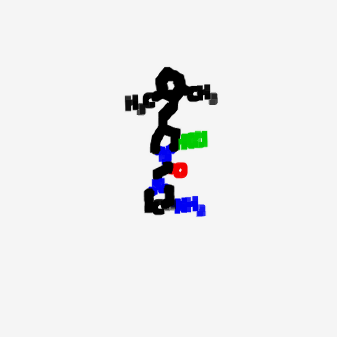 Cc1cccc(C)c1C=CC1CCN(C(=O)CN2CCC[C@H](N)C2)CC1.Cl.Cl